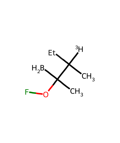 [3H]C(C)(CC)C(B)(C)OF